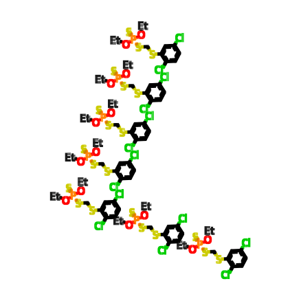 CCOP(=S)(OCC)SCSc1cc(Cl)ccc1Cl.CCOP(=S)(OCC)SCSc1cc(Cl)ccc1Cl.CCOP(=S)(OCC)SCSc1cc(Cl)ccc1Cl.CCOP(=S)(OCC)SCSc1cc(Cl)ccc1Cl.CCOP(=S)(OCC)SCSc1cc(Cl)ccc1Cl.CCOP(=S)(OCC)SCSc1cc(Cl)ccc1Cl.CCOP(=S)(OCC)SCSc1cc(Cl)ccc1Cl